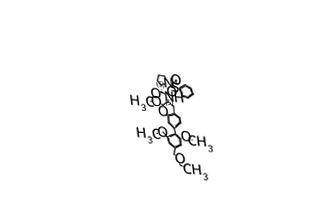 CCOCc1cc(OC)c(-c2ccc(C[C@H](NC(=O)[C@@H]3CCCN3S(=O)(=O)c3ccccc3)C(=O)OC)cc2)c(OC)c1